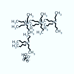 CCCC[N+](CCCC)(CCCC)CCCC.CCCC[N+](CCCC)(CCCC)CCCC.CCCC[N+](CCCC)(CCCC)CCCC.CCCC[N+](CCCC)(CCCC)CCCC.O=P([O-])([O-])[O-].[OH-]